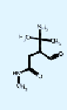 CNC(=O)CC(C=O)C(C)(C)N